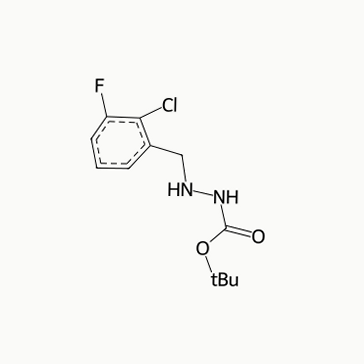 CC(C)(C)OC(=O)NNCc1cccc(F)c1Cl